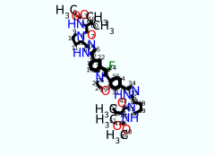 COC(=O)NC(C(=O)N1CCCC1c1ncc(-c2ccc3c(c2)c(F)c2n3CCOc3cc(-c4cnc([C@H]5CCCN5C(=O)C(NC(=O)OC)C(C)C)[nH]4)ccc3-2)[nH]1)C(C)C